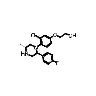 C[C@@H]1CN(c2ccc(OCCO)cc2Cl)C(c2ccc(F)cc2)CN1